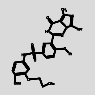 CCCc1nc(C)c2c(=O)[nH]c(-c3cc(S(=O)(=O)Nc4ccc(OC)c(OCCOC(C)=O)c4)ccc3OCC)nn12